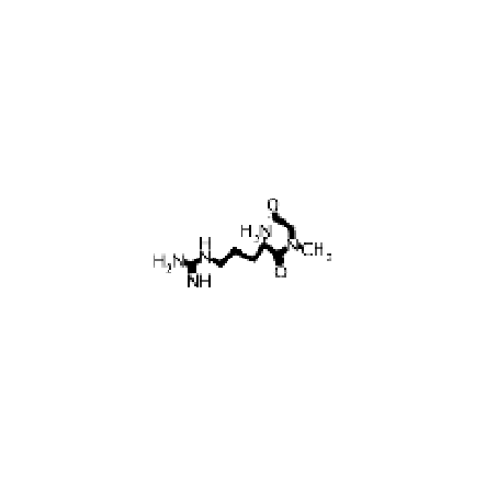 CN(C[C]=O)C(=O)[C@@H](N)CCCNC(=N)N